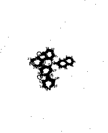 c1ccc2cc(N(c3ccc4oc5cnccc5c4c3)c3cccc4oc5cnccc5c34)ccc2c1